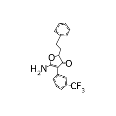 NC1=C(c2cccc(C(F)(F)F)c2)C(=O)C(CCc2ccccc2)O1